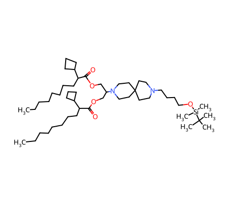 CCCCCCCCC(C(=O)OCC(COC(=O)C(CCCCCCCC)C1CCC1)N1CCC2(CCN(CCCCO[Si](C)(C)C(C)(C)C)CC2)CC1)C1CCC1